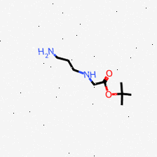 CC(C)(C)OC(=O)CNCCCN